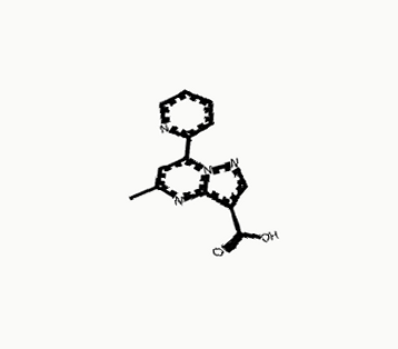 Cc1cc(-c2ccccn2)n2ncc(C(=O)O)c2n1